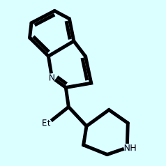 CCC(c1ccc2ccccc2n1)C1CCNCC1